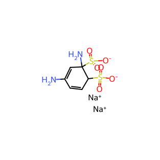 NC1=CC(N)(S(=O)(=O)[O-])C(S(=O)(=O)[O-])C=C1.[Na+].[Na+]